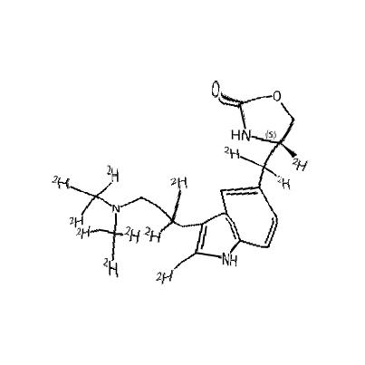 [2H]c1[nH]c2ccc(C([2H])([2H])[C@@]3([2H])COC(=O)N3)cc2c1C([2H])([2H])CN(C([2H])([2H])[2H])C([2H])([2H])[2H]